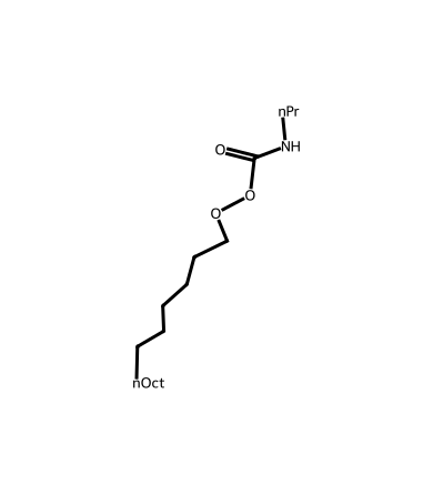 CCCCCCCCCCCCCCOOC(=O)NCCC